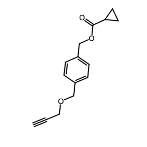 C#CCOCc1ccc(COC(=O)C2CC2)cc1